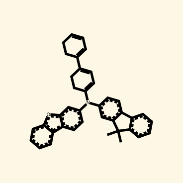 CC1(C)c2ccccc2-c2ccc(N(C3=CC=C(C4=CC=CCC4)CC3)c3ccc4c(c3)oc3ccccc34)cc21